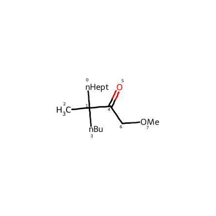 CCCCCCCC(C)(CCCC)C(=O)COC